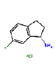 Cl.N[C@H]1CCc2ccc(F)cc21